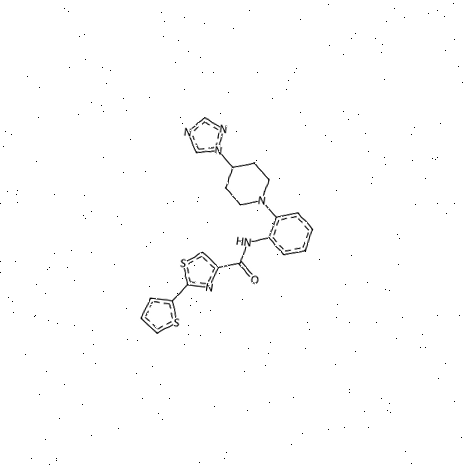 O=C(Nc1ccccc1N1CCC(n2cncn2)CC1)c1csc(-c2cccs2)n1